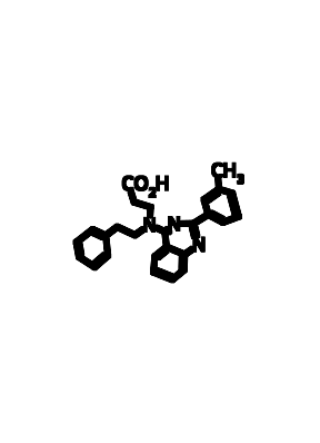 Cc1cccc(-c2nc(N(CCC(=O)O)CCc3ccccc3)c3ccccc3n2)c1